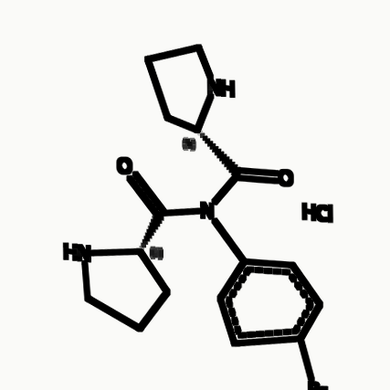 Cl.O=C([C@@H]1CCCN1)N(C(=O)[C@@H]1CCCN1)c1ccc(Br)cc1